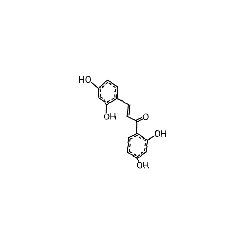 O=C(/C=C/c1ccc(O)cc1O)c1ccc(O)cc1O